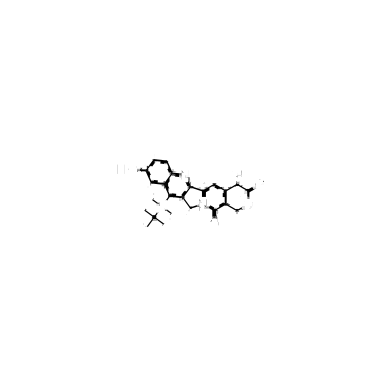 CC(C)(C)S(C)(C)c1c2c(nc3ccc(O)cc13)-c1cc3c(c(=O)n1C2)COC(=O)[C@H]3O